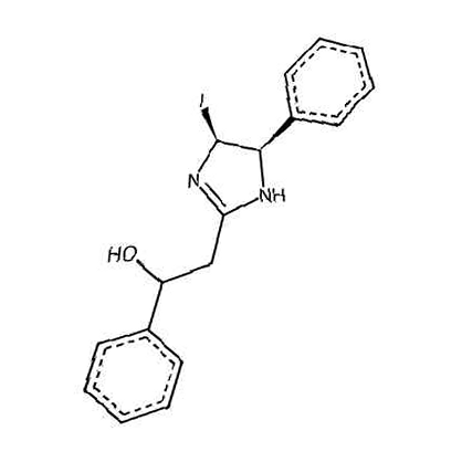 OC(CC1=N[C@@H](I)[C@@H](c2ccccc2)N1)c1ccccc1